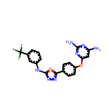 Nc1cc(Oc2ccc(-c3nnc(Nc4cccc(C(F)(F)F)c4)o3)cc2)nc(N)n1